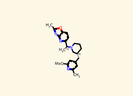 COc1cc(C[C@H]2CCCN([C@@H](C)c3ccc4oc(C)nc4n3)C2)cc(C)n1